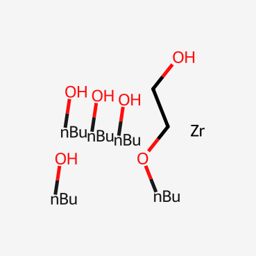 CCCCO.CCCCO.CCCCO.CCCCO.CCCCOCCO.[Zr]